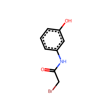 O=C(CBr)Nc1cccc(O)c1